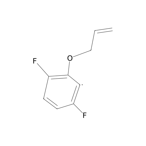 C=CCOc1[c]c(F)ccc1F